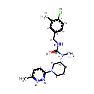 Cc1ccc(N2CCC[C@@H](N(C)C(=O)NCc3ccc(Cl)c(C)c3)C2)nn1